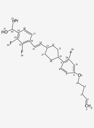 C=CCCCOc1ccc(C2CCC(/C=C/c3ccc(C(O)CCC)c(F)c3F)CC2)c(F)c1